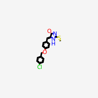 CSC1=NC(=O)C(=Cc2ccc(OCc3ccc(Cl)cc3)cc2)N1